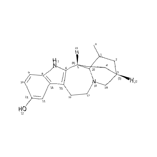 CC1C[C@H]2C[C@H]3c4[nH]c5ccc(O)cc5c4CCN(C2)C13